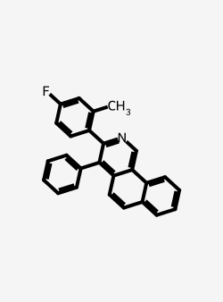 Cc1cc(F)ccc1-c1ncc2c(ccc3ccccc32)c1-c1ccccc1